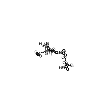 NC(=O)NCCC[C@H](NC(=O)CNC(=O)CCCCCN1C(=O)C=CC1=O)C(=O)Nc1ccc(COc2cc3c(c4ccccc24)CCN3C(=O)CCCC(=O)N2CC(CCl)c3c2cc(O)c2ccccc32)cc1